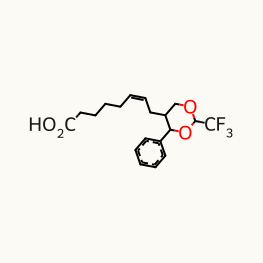 O=C(O)CCCC/C=C\CC1COC(C(F)(F)F)OC1c1ccccc1